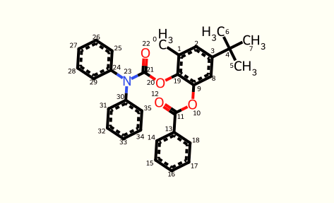 Cc1cc(C(C)(C)C)cc(OC(=O)c2ccccc2)c1OC(=O)N(c1ccccc1)c1ccccc1